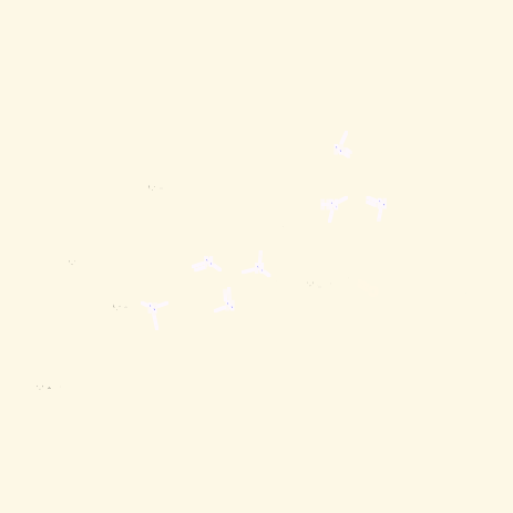 COC(=O)C1=C(C2CCN(c3ncc(N(Cc4ccc(OC)cc4OC)Cc4ccc(OC)cc4OC)c(C(=O)O)n3)CC2)NC(c2nccs2)=NC1c1ccc(F)c(F)c1Cl